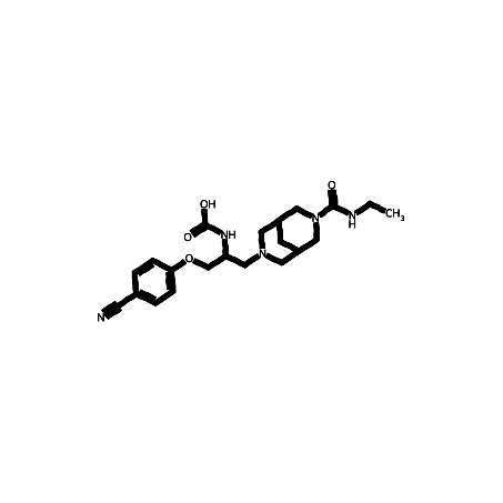 CCNC(=O)N1CC2CC(CN(CC(COc3ccc(C#N)cc3)NC(=O)O)C2)C1